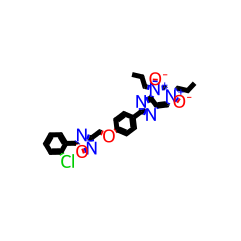 CCC[N+]1([O-])C=C2N=C(c3ccc(OCc4noc(-c5ccccc5Cl)n4)cc3)N=C2[N+]([O-])(CCC)C1